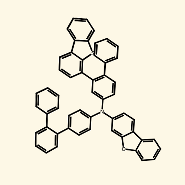 c1ccc(-c2ccccc2-c2ccc(N(c3ccc(-c4ccccc4)c(-c4cccc5c4sc4ccccc45)c3)c3ccc4c(c3)oc3ccccc34)cc2)cc1